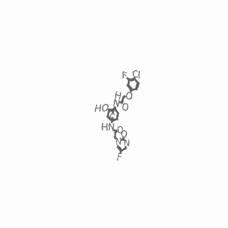 O=C(Cn1cc(F)cnc1=O)NC12CCC(NC(=O)COc3ccc(Cl)c(F)c3)(CC1)C(O)C2